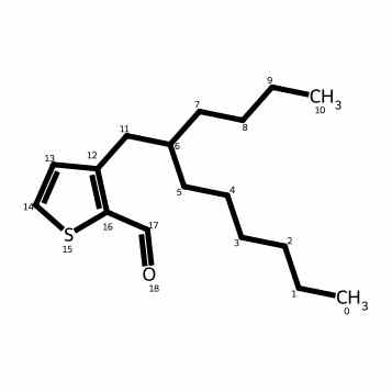 CCCCCCC(CCCC)Cc1ccsc1C=O